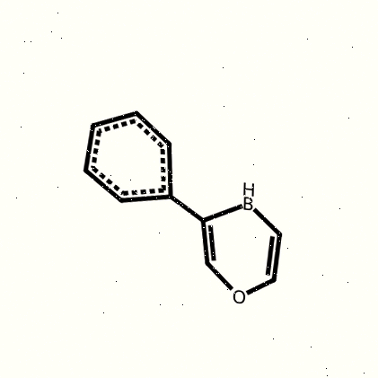 B1C=COC=C1c1ccccc1